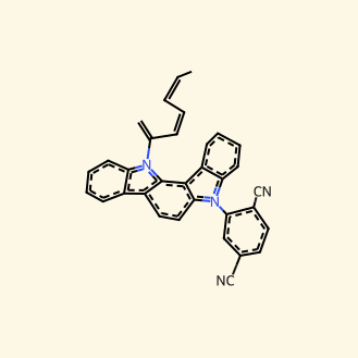 C=C(/C=C\C=C/C)n1c2ccccc2c2ccc3c(c4ccccc4n3-c3cc(C#N)ccc3C#N)c21